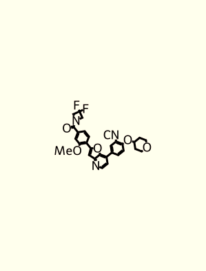 COc1cc(C(=O)N2CC(F)(F)C2)ccc1-c1cc2nccc(-c3ccc(OC4CCOCC4)c(C#N)c3)c2o1